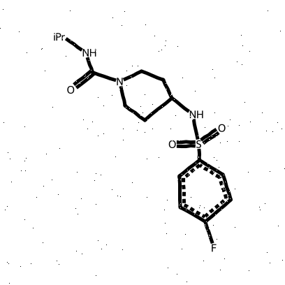 CC(C)NC(=O)N1CCC(NS(=O)(=O)c2ccc(F)cc2)CC1